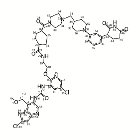 CO[C@H](C)c1c(NC(=O)Nc2cc(Cl)cnc2OCCNC(=O)C2CCC(C(=O)N3CCN(CC4CCN(c5cccc(C6CCC(=O)NC6=O)c5)CC4)CC3)CC2)cnc2cc(Cl)nn12